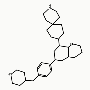 c1cc(C2CC3CCCNC3C(C3CCC4(CCNCC4)CC3)C2)ccc1CC1CCNCC1